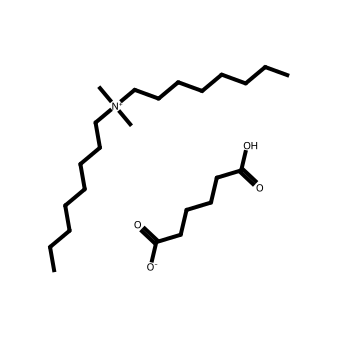 CCCCCCCC[N+](C)(C)CCCCCCCC.O=C([O-])CCCCC(=O)O